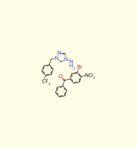 NN1C=NN(Cc2ccc(C(F)(F)F)cc2)C1.O=C(c1ccccc1)c1ccc([N+](=O)[O-])c(Br)c1